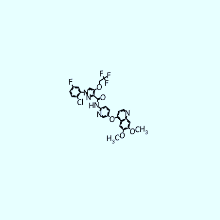 COc1cc2nccc(Oc3ccc(NC(=O)c4nn(-c5cc(F)ccc5Cl)cc4OCC(F)(F)F)nc3)c2cc1OC